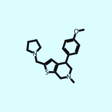 COc1ccc(C2CN(C)Cc3sc(CN4CCCC4)cc32)cc1